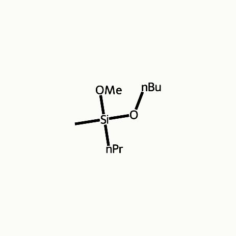 CCCCO[Si](C)(CCC)OC